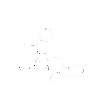 COC(=O)CN1C(=O)c2oc3ccc(Cl)cc3c2OC[C@]1(C)C(=O)N[C@@H](C)c1ccccc1